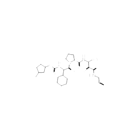 C=CCNC(=O)C(=O)C(CCC)NC(=O)[C@@H]1CCCN1C(=O)C(NC(=O)OC1CCC(C)C1)C1CCCCC1